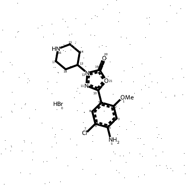 Br.COc1cc(N)c(Cl)cc1-c1nn(C2CCNCC2)c(=O)o1